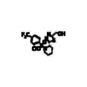 O=S(=O)(c1ccc(C(F)(F)F)cc1Cl)N1CCCC[C@H]1c1nnc(CO)s1